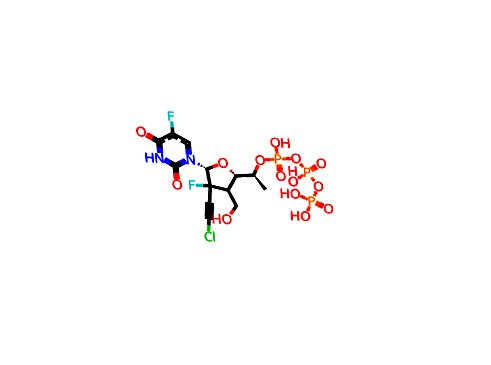 C[C@H](OP(=O)(O)OP(=O)(O)OP(=O)(O)O)[C@H]1O[C@@H](n2cc(F)c(=O)[nH]c2=O)C(F)(C#CCl)C1CO